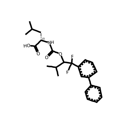 CC(C)C[C@H](NC(=O)OC(C(C)C)C(F)(F)c1cccc(-c2ccccc2)c1)C(=O)O